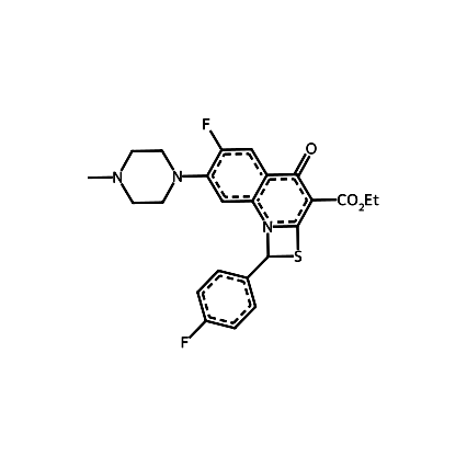 CCOC(=O)c1c2n(c3cc(N4CCN(C)CC4)c(F)cc3c1=O)C(c1ccc(F)cc1)S2